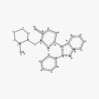 CN1CCCCC1Cn1nc(-c2c(-c3ccccc3)nn3ccccc23)ccc1=O